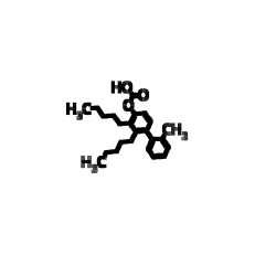 CCCCCc1c(OC(=O)O)ccc(-c2ccccc2C)c1CCCCC